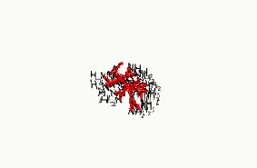 CCCCN(CCCN)CCCOC(COCCCN(CCCN)CCCN)(COCCN(CCCN)CCCN)NC(=O)C(OCCCN(CCCN)CCCN)C(OCCCN(CCCN)CCCN)C(=O)NC(COCCCN(CCCN)CCCN)(COCCCN(CCCN)CCCN)OCCCN(CCCN)CCCN